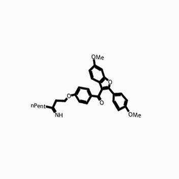 CCCCCC(=N)CCOc1ccc(C(=O)c2c(-c3ccc(OC)cc3)oc3cc(OC)ccc23)cc1